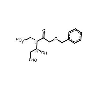 O=CC[C@H](O)[C@H](CC(=O)O)C(=O)COCc1ccccc1